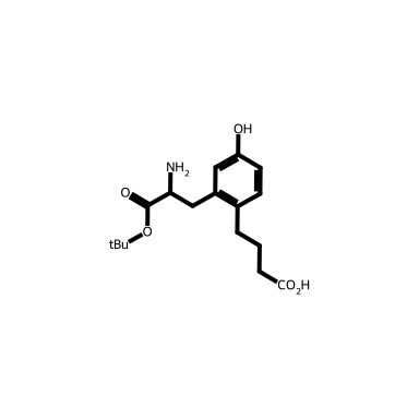 CC(C)(C)OC(=O)C(N)Cc1cc(O)ccc1CCCC(=O)O